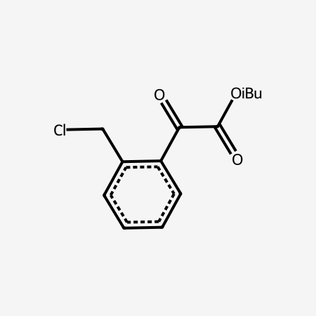 CC(C)COC(=O)C(=O)c1ccccc1CCl